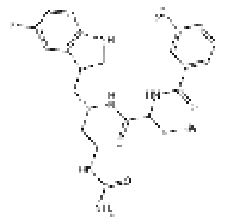 Cc1cccc(C(=O)NC(CC(C)C)C(=O)NC(CCNC(N)=O)CC2CNc3ccc(F)cc32)c1